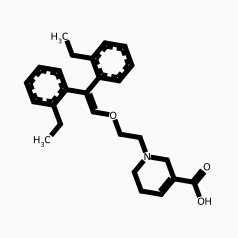 CCc1ccccc1C(=COCCN1CCC=C(C(=O)O)C1)c1ccccc1CC